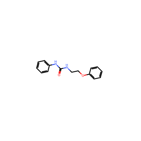 O=C(NCCOc1ccccc1)Nc1ccccc1